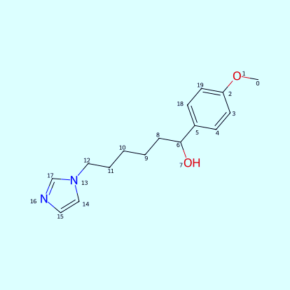 COc1ccc(C(O)CCCCCn2ccnc2)cc1